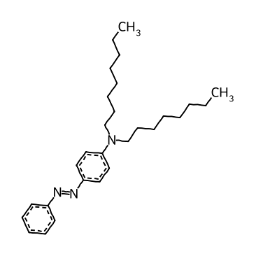 CCCCCCCCN(CCCCCCCC)c1ccc(/N=N/c2ccccc2)cc1